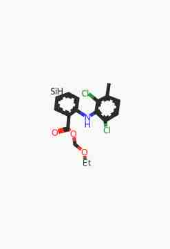 CCOCOC(=O)c1ccccc1Nc1c(Cl)ccc(C)c1Cl.[SiH4]